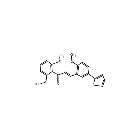 COc1ccc(-c2cccs2)cc1C=CC(=O)c1c(OC)cccc1OC